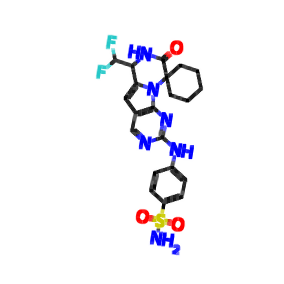 NS(=O)(=O)c1ccc(Nc2ncc3cc4n(c3n2)C2(CCCCC2)C(=O)NC4C(F)F)cc1